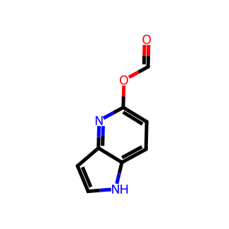 O=COc1ccc2[nH]ccc2n1